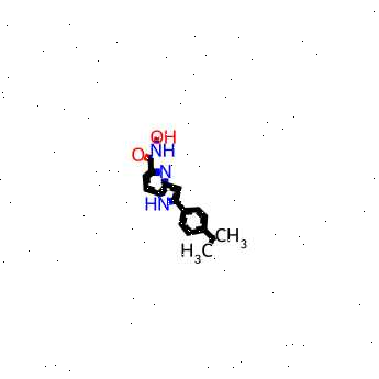 CC(C)c1ccc(-c2cc3nc(C(=O)NO)ccc3[nH]2)cc1